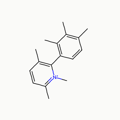 Cc1ccc(-c2c(C)ccc(C)[n+]2C)c(C)c1C